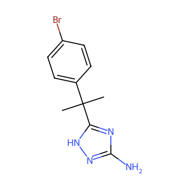 CC(C)(c1ccc(Br)cc1)c1nc(N)n[nH]1